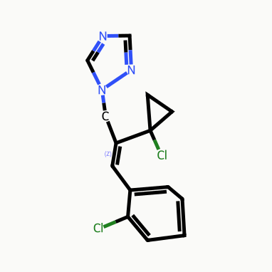 Clc1ccccc1/C=C(/Cn1cncn1)C1(Cl)CC1